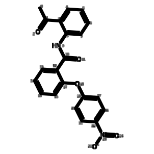 CC(=O)c1ccccc1NC(=O)c1ccccc1Oc1ccc([N+](=O)[O-])cc1